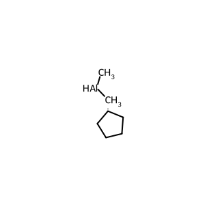 [CH3][AlH][CH3].[CH]1CCCC1